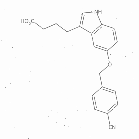 N#Cc1ccc(COc2ccc3[nH]cc(CCCC(=O)O)c3c2)cc1